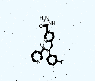 NNC(=O)c1ccc(CN(C(=O)c2cccnc2)c2cccc(F)c2)nc1